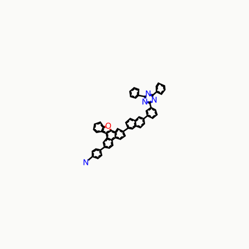 N#Cc1ccc(-c2ccc3c4ccc(-c5ccc6cc(-c7cccc(-c8nc(-c9ccccc9)nc(-c9ccccc9)n8)c7)ccc6c5)cc4c4oc5ccccc5c4c3c2)cc1